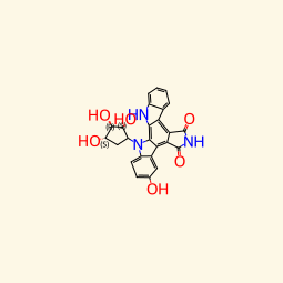 O=C1NC(=O)c2c1c1c3ccccc3[nH]c1c1c2c2cc(O)ccc2n1C1C[C@H](O)[C@@H](O)[C@H]1O